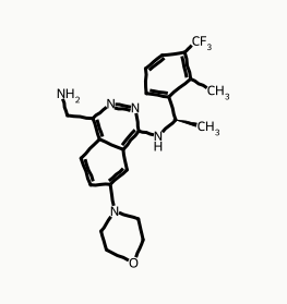 Cc1c([C@@H](C)Nc2nnc(CN)c3ccc(N4CCOCC4)cc23)cccc1C(F)(F)F